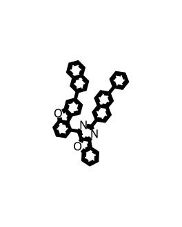 c1ccc(-c2ccc3cc(-c4nc(-c5cccc6oc7cc(-c8ccc9ccccc9c8)ccc7c56)c5oc6ccccc6c5n4)ccc3c2)cc1